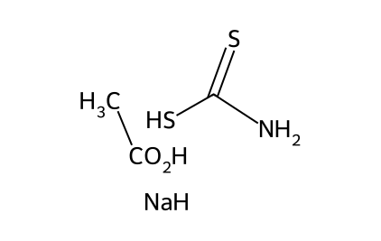 CC(=O)O.NC(=S)S.[NaH]